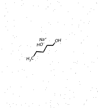 CCCCCO.[Na+].[OH-]